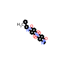 Cc1ccccc1-c1ccc2nc3c4ccc5c6c(ccc(c(=O)n3c2c1)c64)C(=O)N(N1C(=O)c2ccc3c(=O)n4c(c6ccc(c2c36)C1=O)=NCC4)C5=O